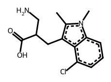 Cc1c(CC(CN)C(=O)O)c2c(Cl)cccc2n1C